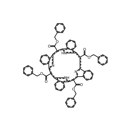 O=C(OCc1ccccc1)c1c2nc(c(C(=O)OCc3ccccc3)c3[nH]c(c(C(=O)OCc4ccccc4)c4nc(c(C(=O)OCc5ccccc5)c5[nH]c1c1ccccc51)-c1ccccc1-4)c1ccccc31)-c1ccccc1-2